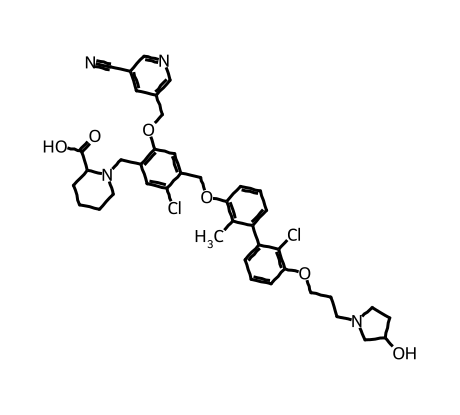 Cc1c(OCc2cc(OCc3cncc(C#N)c3)c(CN3CCCCC3C(=O)O)cc2Cl)cccc1-c1cccc(OCCCN2CCC(O)C2)c1Cl